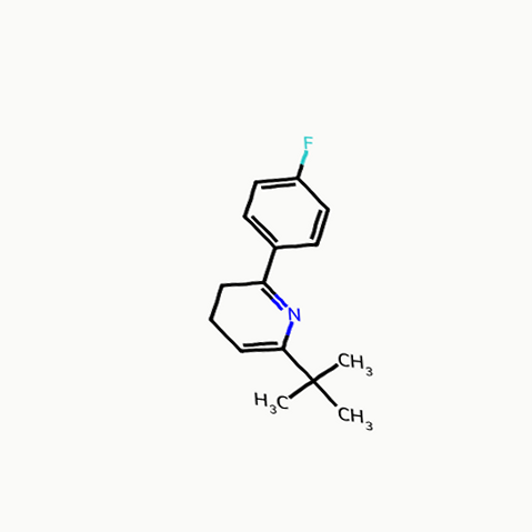 CC(C)(C)C1=CCCC(c2ccc(F)cc2)=N1